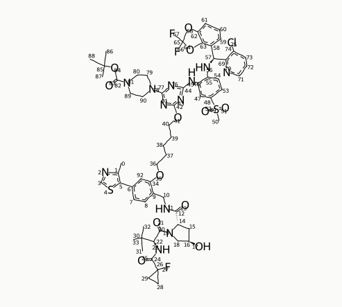 Cc1ncsc1-c1ccc(CNC(=O)[C@@H]2C[C@@H](O)CN2C(=O)[C@@H](NC(=O)C2(F)CC2)C(C)(C)C)c(OCCCCCOc2nc(Nc3cc(S(C)(=O)=O)ccc3N[C@@H](c3cccc4c3OC(F)(F)O4)c3ncccc3Cl)nc(N3CCN(C(=O)OC(C)(C)C)CC3)n2)c1